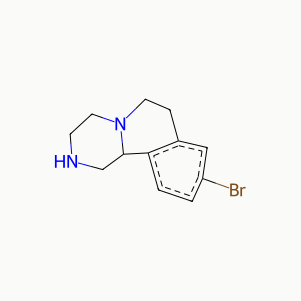 Brc1ccc2c(c1)CCN1CCNCC21